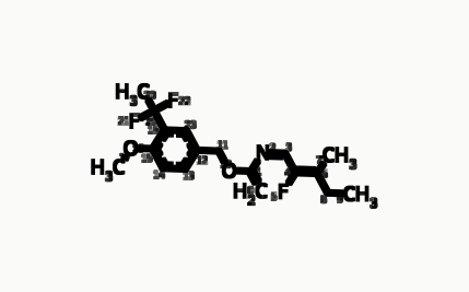 C=C(/N=C\C(F)=C(/C)CC)OCc1ccc(OC)c(C(C)(F)F)c1